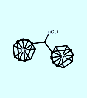 CCCCCCCCC([C]12[CH]3[CH]4[CH]5[CH]1[Fe]45321678[CH]2[CH]1[CH]6[CH]7[CH]28)[C]12[CH]3[CH]4[CH]5[CH]1[Fe]45321678[CH]2[CH]1[CH]6[CH]7[CH]28